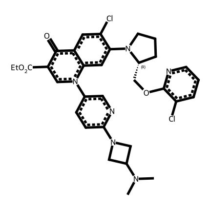 CCOC(=O)c1cn(-c2ccc(N3CC(N(C)C)C3)nc2)c2cc(N3CCC[C@@H]3COc3ncccc3Cl)c(Cl)cc2c1=O